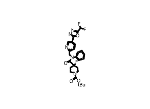 CC(C)(C)OC(=O)N1CCC(F)(C(=O)N(Cc2ccc(-c3nnc(C(F)F)o3)cn2)c2ccccc2)CC1